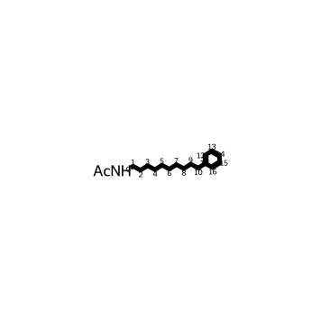 CC(=O)NCCCCCCCCCCc1ccccc1